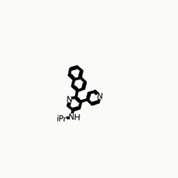 CC(C)Nc1cnc(-c2ccc3ccccc3c2)c(-c2ccncc2)c1